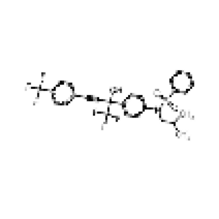 CC(C)CN(c1ccc(C(O)(C#Cc2ccc(C(F)(F)F)cc2)C(F)(F)F)cc1)S(=O)(=O)c1ccccc1